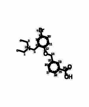 CCN(CC)Cc1cc(Br)ccc1OCc1cccc(C(=O)O)c1